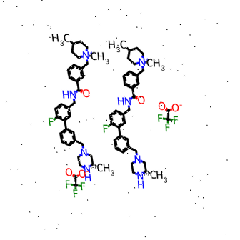 CC1CC[N+](C)(Cc2cccc(C(=O)NCc3ccc(F)c(-c4cccc(CN5CCN[C@@H](C)C5)c4)c3)c2)CC1.CC1CC[N+](C)(Cc2cccc(C(=O)NCc3ccc(F)c(-c4cccc(CN5CCN[C@@H](C)C5)c4)c3)c2)CC1.O=C([O-])C(F)(F)F.O=C([O-])C(F)(F)F